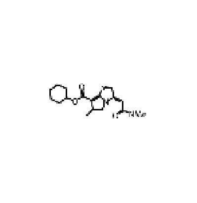 CNC(=O)C=C1CSC2=C(C(=O)OC3CCCCC3)C(C)CN12